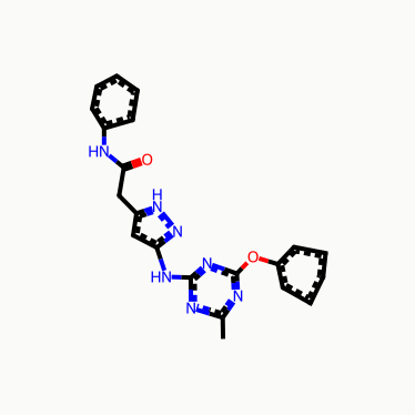 Cc1nc(Nc2cc(CC(=O)Nc3ccccc3)[nH]n2)nc(Oc2ccccc2)n1